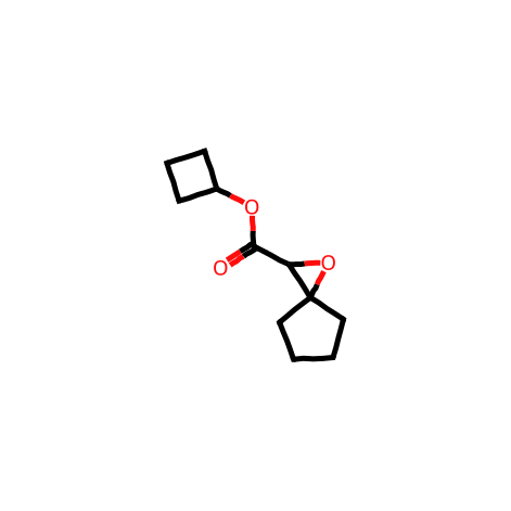 O=C(OC1CCC1)C1OC12CCCC2